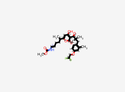 COC(=O)N/C=C/CCC(C)c1cc(O)c(C(=O)C(C)(C)Cc2ccc(OCC(F)F)cc2C)c(=O)o1